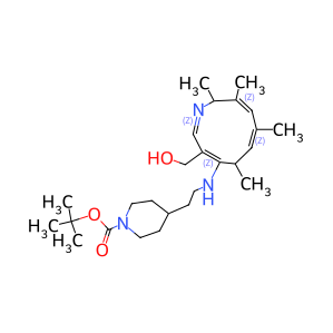 CC1=C/C(C)/C(NCCC2CCN(C(=O)OC(C)(C)C)CC2)=C(CO)\C=N/C(C)/C(C)=C\1